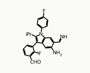 CC(C)c1c(-c2cccc(C=O)c2F)c2cc(N)c(C=N)cc2n1-c1ccc(F)cc1